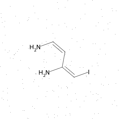 N/C=C\C(N)=C/I